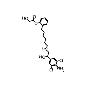 Nc1c(Cl)cc(C(O)CNCCCCCCc2ccccc2OC(=O)CO)cc1Cl